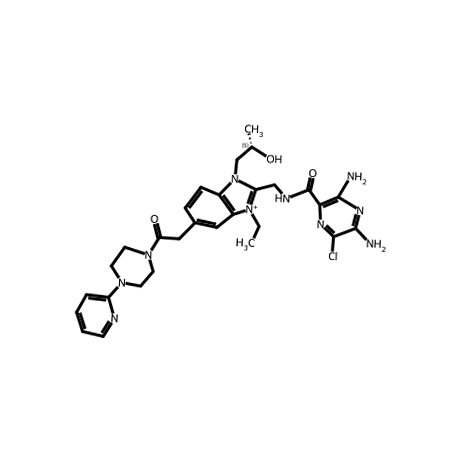 CC[n+]1c(CNC(=O)c2nc(Cl)c(N)nc2N)n(C[C@H](C)O)c2ccc(CC(=O)N3CCN(c4ccccn4)CC3)cc21